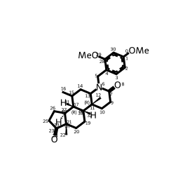 COc1ccc(CN2C(=O)CC[C@@]3(C)C2CC(C)[C@@H]2[C@H]3CC[C@]3(C)C(=O)CC[C@@H]23)c(OC)c1